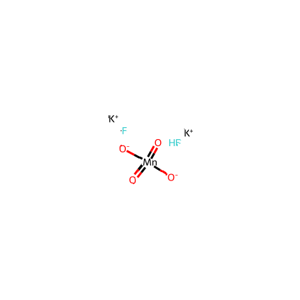 F.[F].[K+].[K+].[O]=[Mn](=[O])([O-])[O-]